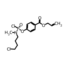 C=CCOC(=O)c1ccc(OP(=O)(Cl)N(C)CCCCCl)cc1